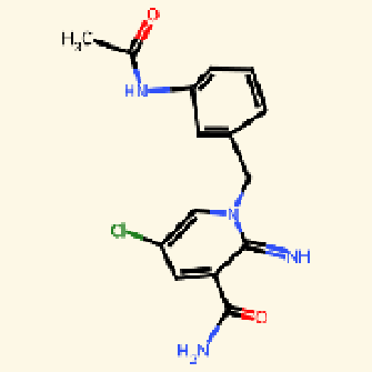 CC(=O)Nc1cccc(Cn2cc(Cl)cc(C(N)=O)c2=N)c1